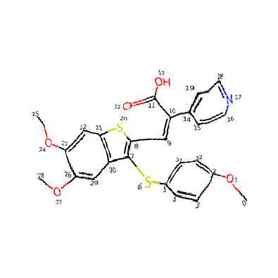 COc1ccc(Sc2c(C=C(C(=O)O)c3ccncc3)sc3cc(OC)c(OC)cc23)cc1